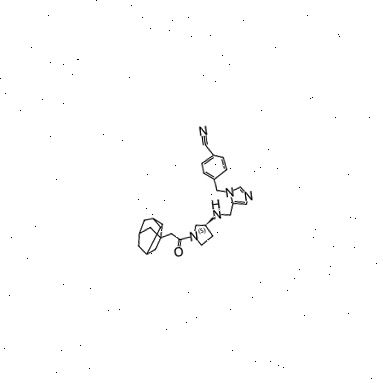 N#Cc1ccc(Cn2cncc2CN[C@H]2CCN(C(=O)CC34CC5CC(CC(C5)C3)C4)C2)cc1